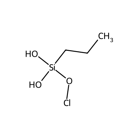 CCC[Si](O)(O)OCl